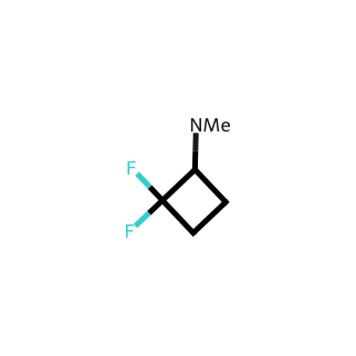 CNC1CCC1(F)F